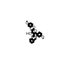 COc1cccc(Sc2c(O)c3c(=O)n(Cc4ccccc4)c4cc(OC)ccc4c3oc2=O)c1